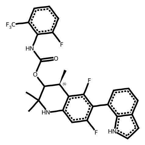 C[C@H]1c2c(cc(F)c(-c3cccc4cc[nH]c34)c2F)NC(C)(C)C1OC(=O)Nc1c(F)cccc1C(F)(F)F